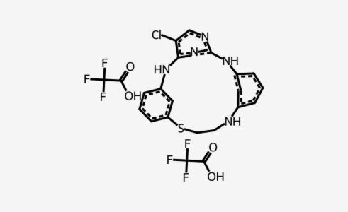 Clc1cnc2nc1Nc1cccc(c1)SCCNc1cccc(c1)N2.O=C(O)C(F)(F)F.O=C(O)C(F)(F)F